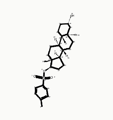 Cc1ccc(S(=O)(=O)O[C@@H]2CC[C@@H]3[C@H]4CC[C@@H]5C[C@@H](O)CC[C@@]5(C)[C@@H]4CC[C@]32C)cc1